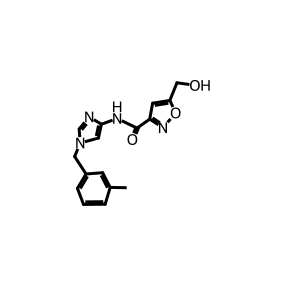 Cc1cccc(Cn2cnc(NC(=O)c3cc(CO)on3)c2)c1